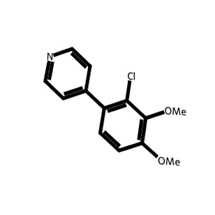 COc1ccc(-c2ccncc2)c(Cl)c1OC